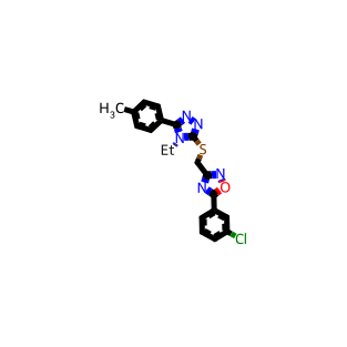 CCn1c(SCc2noc(-c3cccc(Cl)c3)n2)nnc1-c1ccc(C)cc1